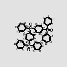 O=P(c1ccccc1)(c1ccccc1)c1ccc(P(=O)(c2ccccc2)c2ccc(P(=O)(c3ccccc3)c3ccccc3)cc2)cc1